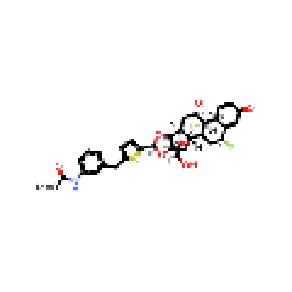 COC(=O)Nc1cccc(Cc2ccc([C@@H]3O[C@@H]4C[C@H]5[C@@H]6C[C@H](F)C7=CC(=O)C=C[C@]7(C)[C@@]6(F)[C@@H](O)C[C@]5(C)[C@]4(C(=O)CO)O3)s2)c1